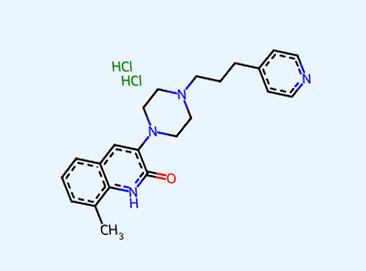 Cc1cccc2cc(N3CCN(CCCc4ccncc4)CC3)c(=O)[nH]c12.Cl.Cl